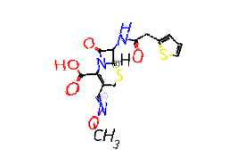 CO/N=C/C1=C(C(=O)O)N2C(=O)C(NC(=O)Cc3cccs3)[C@H]2SC1